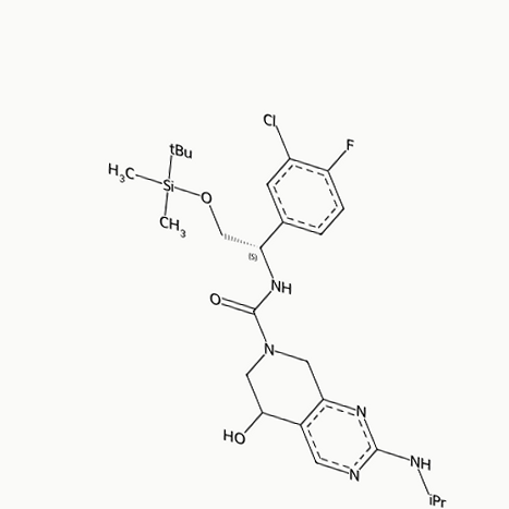 CC(C)Nc1ncc2c(n1)CN(C(=O)N[C@H](CO[Si](C)(C)C(C)(C)C)c1ccc(F)c(Cl)c1)CC2O